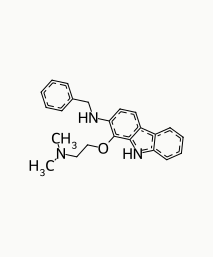 CN(C)CCOc1c(NCc2ccccc2)ccc2c1[nH]c1ccccc12